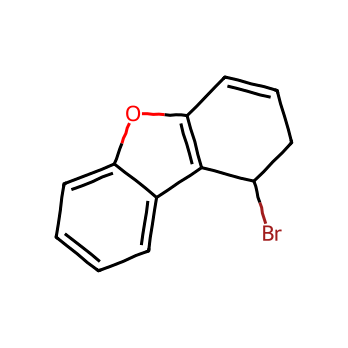 BrC1CC=Cc2oc3ccccc3c21